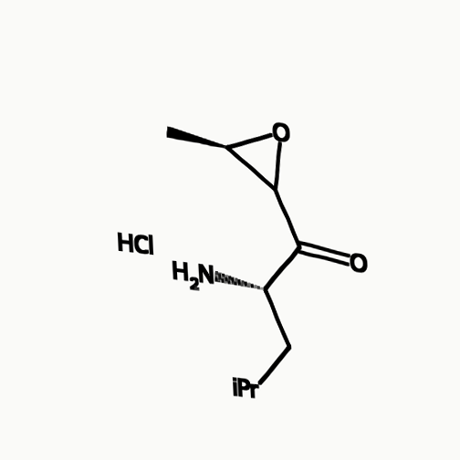 CC(C)C[C@H](N)C(=O)C1O[C@@H]1C.Cl